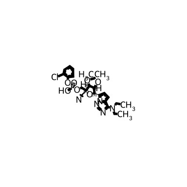 CCN(CC)c1ncnn2c([C@@H]3O[C@](C#N)(COP(=O)(O)Oc4ccccc4Cl)[C@H]4OC(C)(C)O[C@@H]34)ccc12